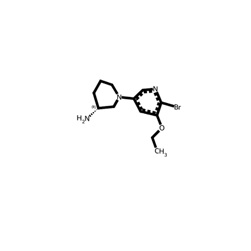 CCOc1cc(N2CCC[C@@H](N)C2)cnc1Br